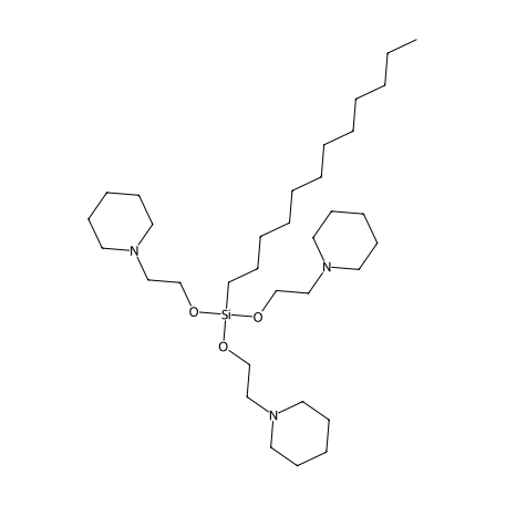 CCCCCCCCCCCC[Si](OCCN1CCCCC1)(OCCN1CCCCC1)OCCN1CCCCC1